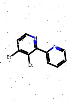 CCc1ccnc(-c2ccccn2)c1CC